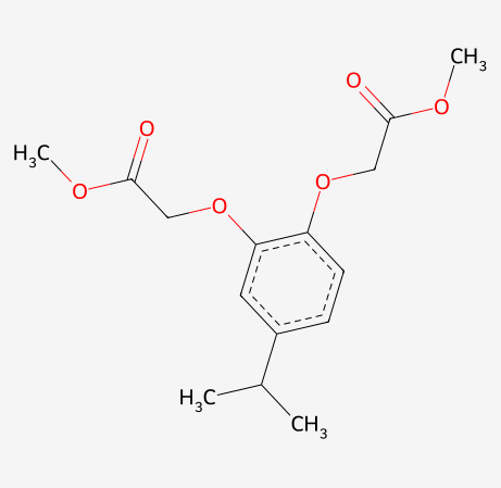 COC(=O)COc1ccc(C(C)C)cc1OCC(=O)OC